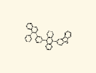 c1ccc(-c2c(-c3cccc(-c4c5ccccc5c(-c5ccc6sc7ccccc7c6c5)c5ccccc45)c3)ccc3ccccc23)cc1